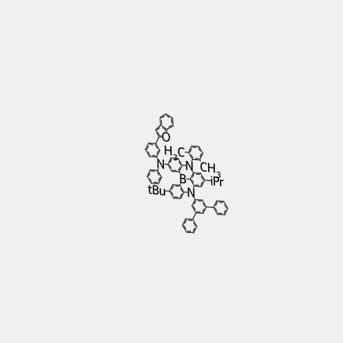 Cc1cccc(C)c1N1c2ccc(N(c3ccccc3)c3cccc(-c4cc5ccccc5o4)c3)cc2B2c3cc(C(C)(C)C)ccc3N(c3cc(-c4ccccc4)cc(-c4ccccc4)c3)c3cc(C(C)C)cc1c32